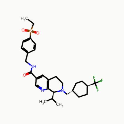 CCS(=O)(=O)c1ccc(CNC(=O)c2cnc3c(c2)CCN(C[C@H]2CC[C@H](C(F)(F)F)CC2)[C@H]3C(C)C)cc1